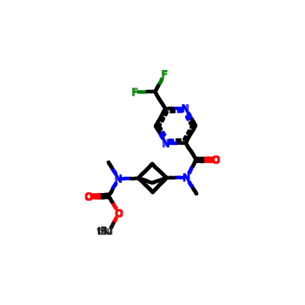 CN(C(=O)OC(C)(C)C)C12CC(N(C)C(=O)c3cnc(C(F)F)cn3)(C1)C2